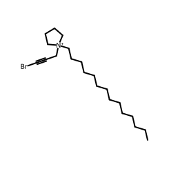 CCCCCCCCCCCCCC[N+]1(CC#CBr)CCCC1